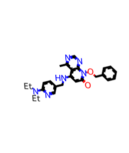 CCN(CC)c1ccc(CNc2cc(=O)n(OCc3ccccc3)c3ncnc(C)c23)cn1